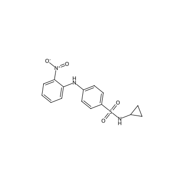 O=[N+]([O-])c1ccccc1Nc1ccc(S(=O)(=O)NC2CC2)cc1